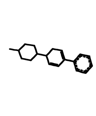 CC1CCC(C2C=CC(c3ccccc3)=CC2)CC1